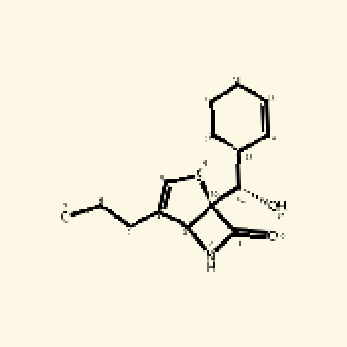 O=C1NC2C(CCCl)=CS[C@@]12[C@@H](O)[C@@H]1C=CCCC1